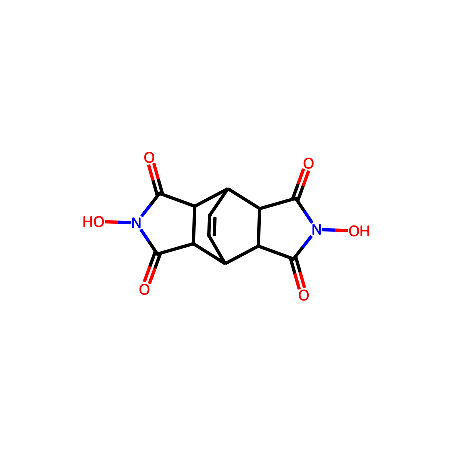 O=C1C2C3C=CC(C2C(=O)N1O)C1C(=O)N(O)C(=O)C31